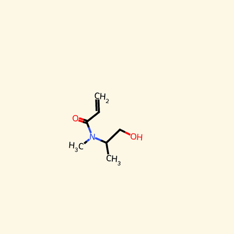 C=CC(=O)N(C)C(C)CO